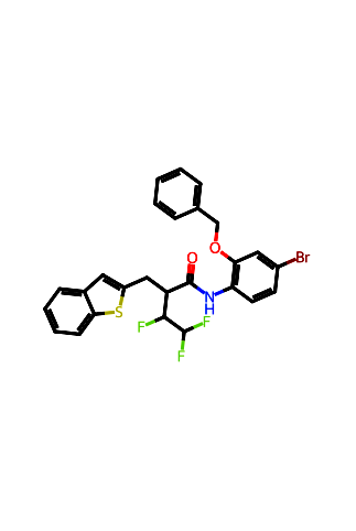 O=C(Nc1ccc(Br)cc1OCc1ccccc1)C(Cc1cc2ccccc2s1)C(F)C(F)F